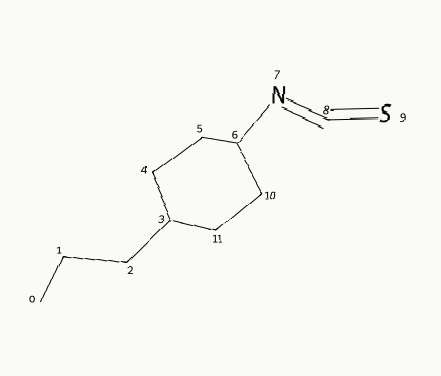 CCCC1CCC(N=C=S)CC1